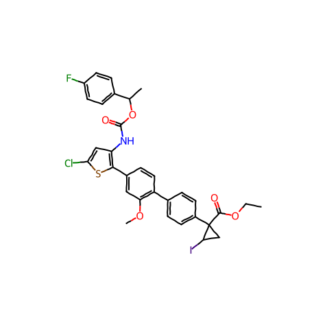 CCOC(=O)C1(c2ccc(-c3ccc(-c4sc(Cl)cc4NC(=O)OC(C)c4ccc(F)cc4)cc3OC)cc2)CC1I